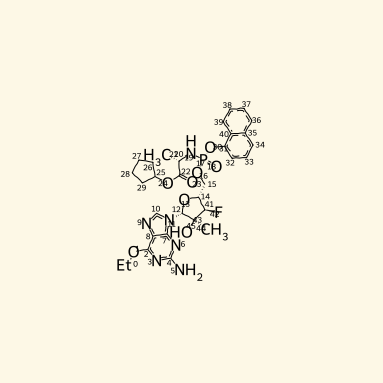 CCOc1nc(N)nc2c1ncn2[C@@H]1O[C@H](COP(=O)(N[C@@H](C)C(=O)OC2CCCC2)Oc2cccc3ccccc23)[C@@H](F)[C@@]1(C)O